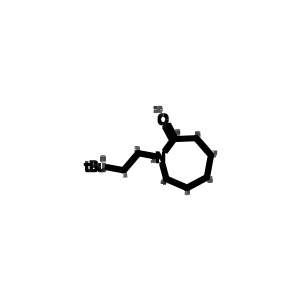 CC(C)(C)CCN1CCCCCC1=O